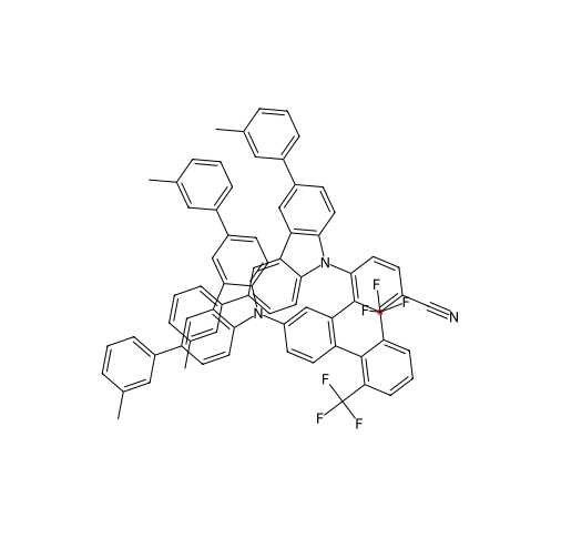 Cc1cccc(-c2ccc3c(c2)c2cc(-c4cccc(C)c4)ccc2n3-c2ccc(-c3c(C(F)(F)F)cccc3C(F)(F)F)c(-c3cc(C#N)ccc3-n3c4ccc(-c5cccc(C)c5)cc4c4cc(-c5cccc(C)c5)ccc43)c2)c1